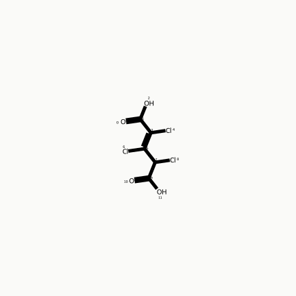 O=C(O)C(Cl)=C(Cl)C(Cl)C(=O)O